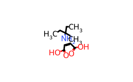 CCC(N)(CC)CC.O=C(O)/C=C\C(=O)O